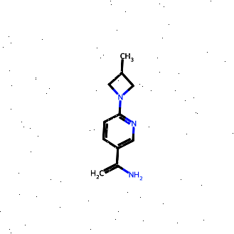 C=C(N)c1ccc(N2CC(C)C2)nc1